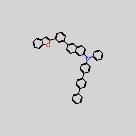 c1ccc(-c2ccc(-c3ccc(N(c4ccccc4)c4ccc5cc(-c6cccc(-c7cc8ccccc8o7)c6)ccc5c4)cc3)cc2)cc1